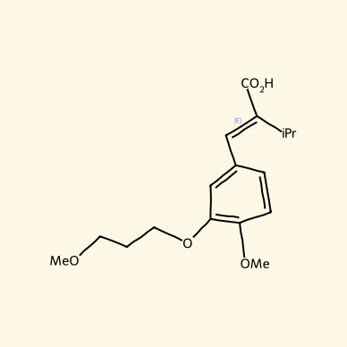 COCCCOc1cc(/C=C(/C(=O)O)C(C)C)ccc1OC